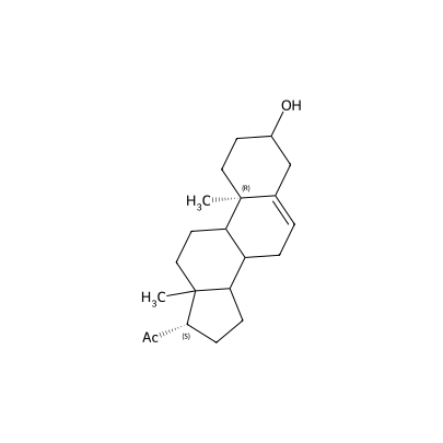 CC(=O)[C@H]1CCC2C3CC=C4CC(O)CC[C@]4(C)C3CCC21C